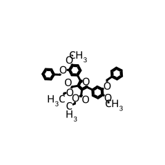 CCOC(=O)c1c(-c2ccc(OC)c(OCc3ccccc3)c2)oc(-c2ccc(OC)c(OCc3ccccc3)c2)c1C(=O)OCC